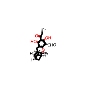 CC(C)CC(=O)c1c(O)c(C=O)c2c(c1O)C[C@H]1C[C@H]3C[C@H](C3(C)C)[C@@]1(C(C)C)O2